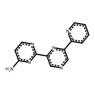 Nc1ccnc(-c2cncc(-c3ccccn3)n2)n1